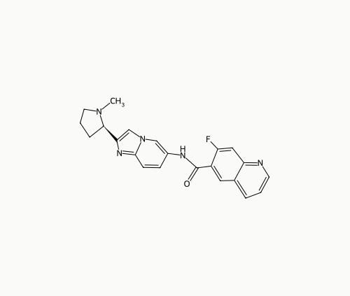 CN1CCC[C@@H]1c1cn2cc(NC(=O)c3cc4cccnc4cc3F)ccc2n1